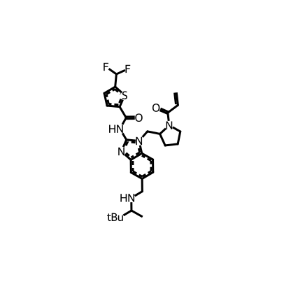 C=CC(=O)N1CCCC1Cn1c(NC(=O)c2ccc(C(F)F)s2)nc2cc(CNC(C)C(C)(C)C)ccc21